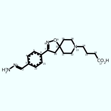 NN=Cc1ccc(C2=NOC3(CCN(CCCC(=O)O)CC3)C2)cc1